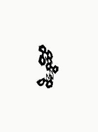 c1ccc(-c2nc(-n3c4ccccc4c4c5c(ccc43)N3c4ccccc4-c4ccccc4-c4cccc(c43)S5)nc3ccccc23)cc1